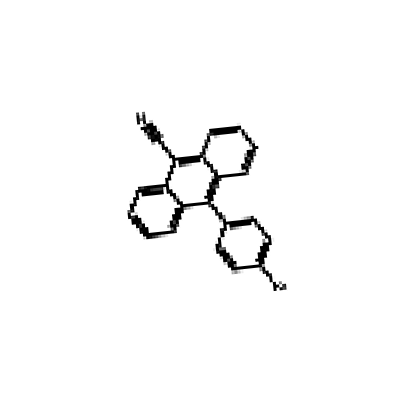 N#Cc1c2ccccc2c(-c2ccc(Br)cc2)c2ccccc12